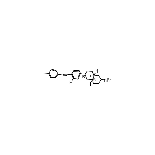 CCCC1CC[C@@H]2C[C@H](c3ccc(C#Cc4ccc(C)cc4)c(F)c3)CC[C@@H]2C1